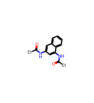 CCC(=O)Nc1cc(NC(=O)CC)c2ccccc2c1